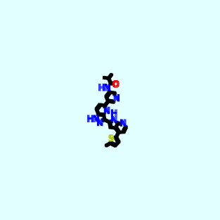 Cc1ccc(-c2ccnc3[nH]c(-c4n[nH]c5ccc(-c6cncc(NC(=O)C(C)C)c6)nc45)cc23)s1